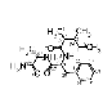 CC[C@H](C)[C@H](C)C(=O)N[C@@H](Cc1ccccc1)C(=O)N[C@@H](C)C(N)=O